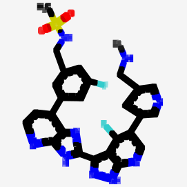 CCNCc1cncc(-c2cnc3[nH]nc(-c4nc5c(-c6cc(F)cc(CNS(C)(=O)=O)c6)ccnc5[nH]4)c3c2F)c1